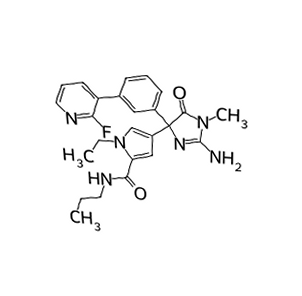 CCCNC(=O)c1cc(C2(c3cccc(-c4cccnc4F)c3)N=C(N)N(C)C2=O)cn1CC